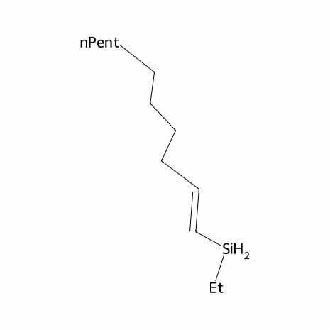 CCCCCCCCCC=C[SiH2]CC